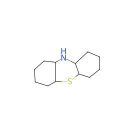 C1CCC2SC3CCCCC3NC2C1